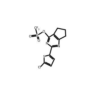 O=S(=O)(Oc1nc(-c2ccc(Cl)s2)nc2c1CCC2)C(F)(F)F